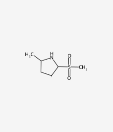 CC1C[CH]C(S(C)(=O)=O)N1